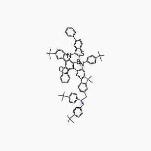 CC(C)(C)c1ccc(/C=C(/Cc2ccc3c(c2)C(C)(C)c2cc4c(cc2-3)-c2c3c5c(c6cc(C(C)(C)C)ccc6n5-c5c(sc6ccc(-c7ccccc7)cc56)B3N4c3ccc(C(C)(C)C)cc3)c3oc4ccccc4c23)c2ccc(C(C)(C)C)cc2)cc1